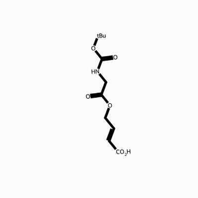 CC(C)(C)OC(=O)NCC(=O)OC/C=C/C(=O)O